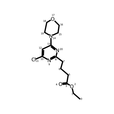 CCOC(=O)CCCc1nc(Cl)cc(N2CCOCC2)n1